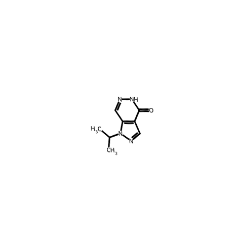 CC(C)n1ncc2c(=O)[nH]ncc21